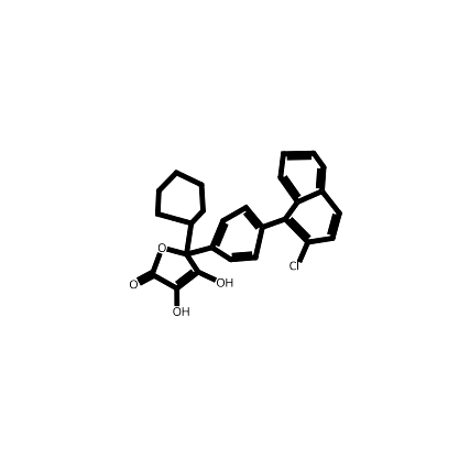 O=C1OC(c2ccc(-c3c(Cl)ccc4ccccc34)cc2)(C2CCCCC2)C(O)=C1O